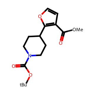 COC(=O)c1ccoc1C1CCN(C(=O)OC(C)(C)C)CC1